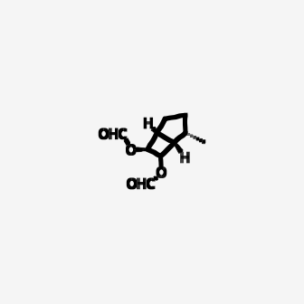 C[C@H]1CC[C@@H]2[C@H]1C(OC=O)[C@H]2OC=O